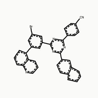 N#Cc1ccc(-c2nc(-c3cc(Br)cc(-c4cccc5ncccc45)c3)nc(-c3ccc4ccccc4c3)n2)cc1